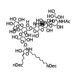 CCCCCCCCCCCCC/C=C/[C@@H](O)[C@H](CO[C@@H]1OC(CO)[C@@H](O[C@@H]2OC(CO[C@@H]3OC(CO)[C@@H](O[C@@H]4OC(CO)[C@H](O)[C@H](O[C@]5(C(=O)O)CC(O)[C@@H](NC(C)=O)C([C@H](O)[C@H](O)CO)O5)C4O)[C@H](O)C3NC(C)=O)[C@H](O)[C@H](O[C@H]3OC(CO)[C@H](O)[C@H](O)C3O)C2O)[C@H](O)C1O)NC(=O)CCCCCCCCCCCCCCCCCCC